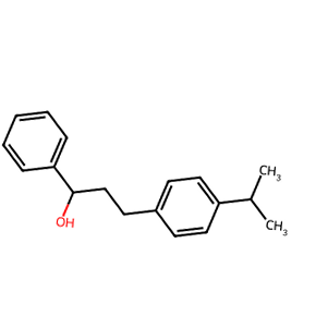 CC(C)c1ccc(CCC(O)c2ccccc2)cc1